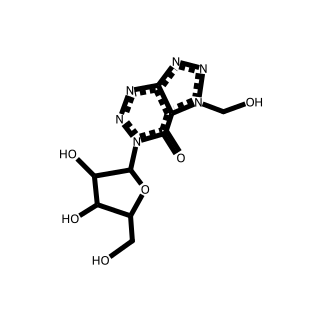 O=c1c2c(nnn1C1OC(CO)C(O)C1O)nnn2CO